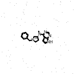 CN(c1ncnc2[nH]ccc12)[C@@H]1CCN(Cc2ccccc2)C1